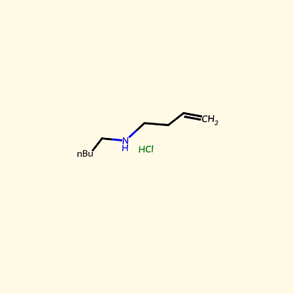 C=CCCNCCCCC.Cl